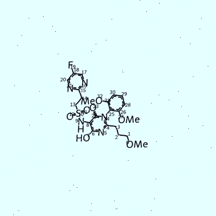 COCCCc1nc(O)c(NS(=O)(=O)CCc2ncc(F)cn2)c(=O)n1-c1c(OC)cccc1OC